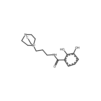 O=C(NCCC[N+]12CCN(CC1)CC2)c1cccc(O)c1O